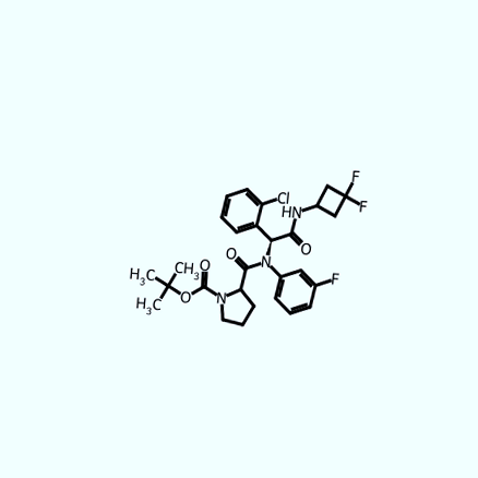 CC(C)(C)OC(=O)N1CCCC1C(=O)N(c1cccc(F)c1)[C@H](C(=O)NC1CC(F)(F)C1)c1ccccc1Cl